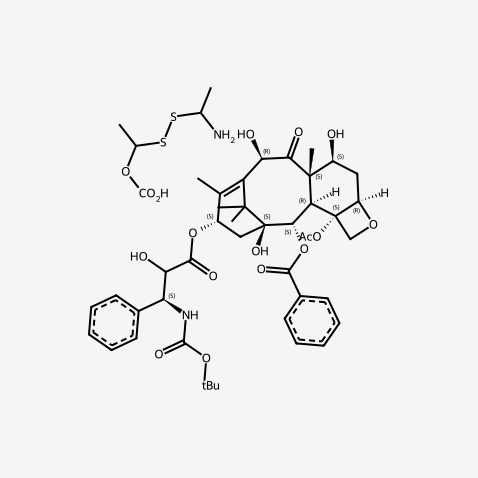 CC(=O)O[C@@]12CO[C@@H]1C[C@H](O)[C@@]1(C)C(=O)[C@H](O)C3=C(C)[C@@H](OC(=O)C(O)[C@@H](NC(=O)OC(C)(C)C)c4ccccc4)C[C@@](O)([C@@H](OC(=O)c4ccccc4)[C@H]21)C3(C)C.CC(N)SSC(C)OC(=O)O